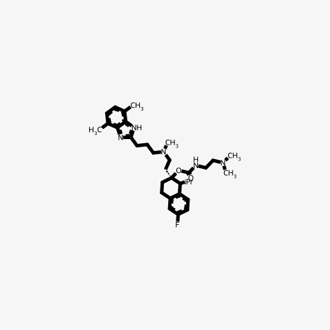 Cc1ccc(C)c2[nH]c(CCCN(C)CC[C@@]3(OC(=O)NCCN(C)C)CCc4cc(F)ccc4C3C(C)C)nc12